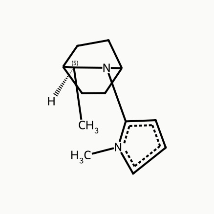 C[C@H]1C2CCC(CC2)N1c1cccn1C